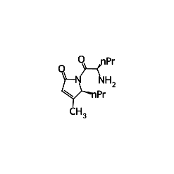 CCC[C@@H](N)C(=O)N1C(=O)C=C(C)[C@@H]1CCC